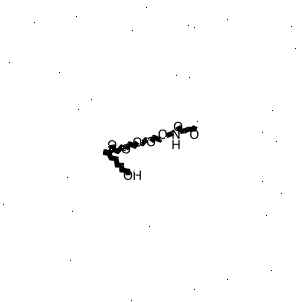 C=C(CCCCCCO)C(=O)CCOCCOCCOCCOCCNC(=O)CCC(C)=O